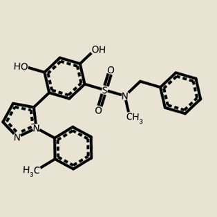 Cc1ccccc1-n1nccc1-c1cc(S(=O)(=O)N(C)Cc2ccccc2)c(O)cc1O